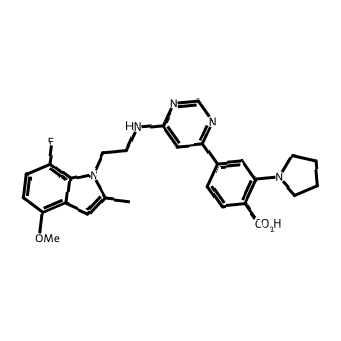 COc1ccc(F)c2c1cc(C)n2CCNc1cc(-c2ccc(C(=O)O)c(N3CCCC3)c2)ncn1